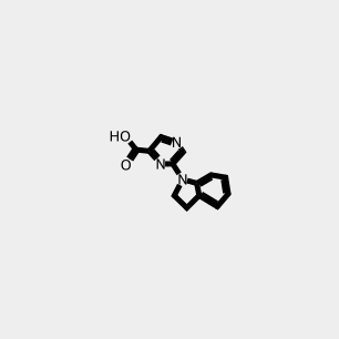 O=C(O)c1cncc(N2CCc3ccccc32)n1